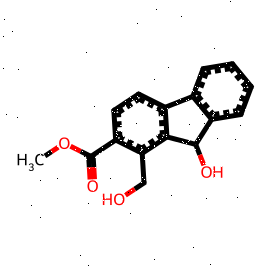 COC(=O)c1ccc2c(c1CO)C(O)c1ccccc1-2